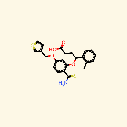 Cc1ccccc1[C@H](CCC(=O)O)Oc1cc(OCc2ccsc2)ccc1C(N)=S